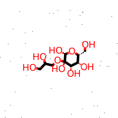 OCC(O)CO[C@]1(O)[C@@H](O)O[C@H](CO)[C@H](O)[C@@H]1O